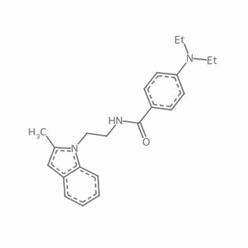 CCN(CC)c1ccc(C(=O)NCCn2c(C)cc3ccccc32)cc1